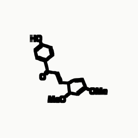 COC1=CC(OC)C(/C=C/C(=O)c2ccc(O)cc2)C=C1